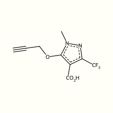 C#CCOc1c(C(=O)O)c(C(F)(F)F)nn1C